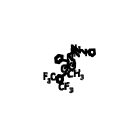 C[C@@H](OC1OCCN(Cc2cnn(CCN3CCCC3)n2)C1c1ccccc1)c1cc(C(F)(F)F)cc(C(F)(F)F)c1